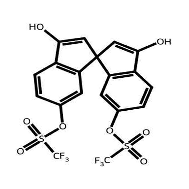 O=S(=O)(Oc1ccc2c(c1)C1(C=C2O)C=C(O)c2ccc(OS(=O)(=O)C(F)(F)F)cc21)C(F)(F)F